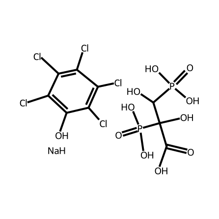 O=C(O)C(O)(C(O)P(=O)(O)O)P(=O)(O)O.Oc1c(Cl)c(Cl)c(Cl)c(Cl)c1Cl.[NaH]